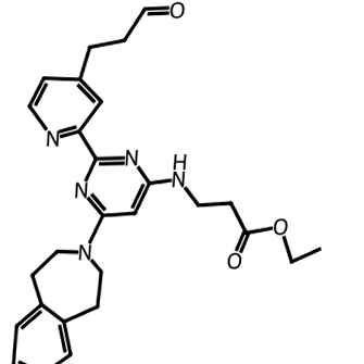 CCOC(=O)CCNc1cc(N2CCc3ccccc3CC2)nc(-c2cc(CCC=O)ccn2)n1